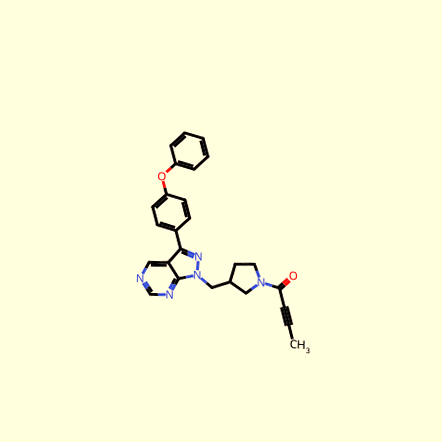 CC#CC(=O)N1CCC(Cn2nc(-c3ccc(Oc4ccccc4)cc3)c3cncnc32)C1